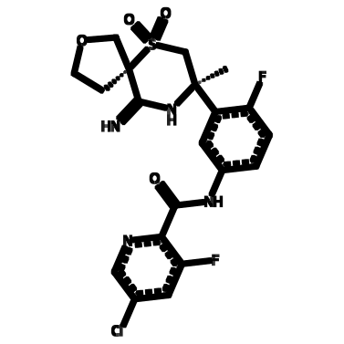 C[C@@]1(c2cc(NC(=O)c3ncc(Cl)cc3F)ccc2F)CS(=O)(=O)[C@@]2(CCOC2)C(=N)N1